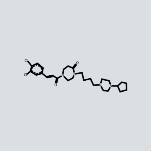 O=C(C=Cc1ccc(Cl)c(Cl)c1)N1CCC(=O)N(CCCCN2CCN(C3CCCC3)CC2)CC1